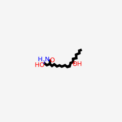 CCCCCC[C@@H](O)C/C=C\CCCCCCC(CCO)C(N)=O